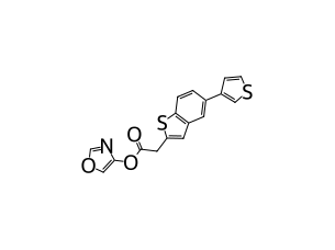 O=C(Cc1cc2cc(-c3ccsc3)ccc2s1)Oc1cocn1